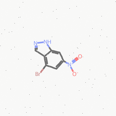 O=[N+]([O-])c1cc(Br)c2cn[nH]c2c1